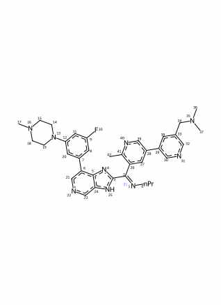 CCC/N=C(/c1nc2c(-c3cc(F)cc(N4CCN(C)CC4)c3)cncc2[nH]1)c1cc(-c2cncc(CN(C)C)c2)cnc1C